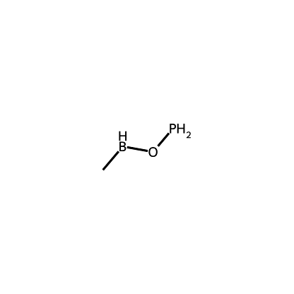 CBOP